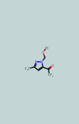 CCOCn1nc(C(F)(F)F)cc1C(=O)C(F)(F)F